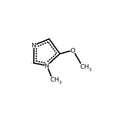 COc1cn[c]n1C